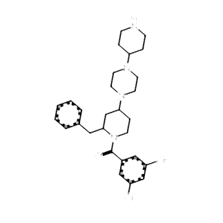 O=C(c1cc(C(F)(F)F)cc(C(F)(F)F)c1)N1CCC(N2CCN(C3CCNCC3)CC2)CC1Cc1ccccc1